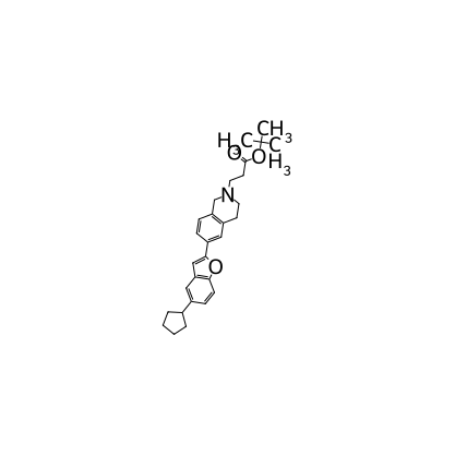 CC(C)(C)OC(=O)CCN1CCc2cc(-c3cc4cc(C5CCCC5)ccc4o3)ccc2C1